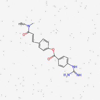 CCCCN(C)C(=O)C=Cc1ccc(OC(=O)c2ccc(NC(=N)N)cc2)cc1